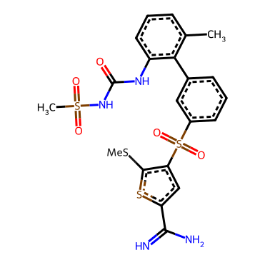 CSc1sc(C(=N)N)cc1S(=O)(=O)c1cccc(-c2c(C)cccc2NC(=O)NS(C)(=O)=O)c1